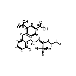 CCCCC(=NOCc1c(C)cccc1Cc1ccc(C(=O)O)cc1C(=O)O)C(F)(F)F